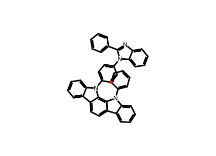 c1ccc(-c2nc3ccccc3n2-c2ccc(-n3c4ccccc4c4ccc5c6ccccc6n(-c6ccccc6)c5c43)cc2)cc1